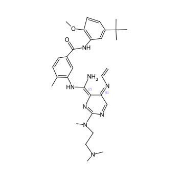 C=C/N=C1/C=NC(N(C)CCN(C)C)=N/C1=C(/N)Nc1cc(C(=O)Nc2cc(C(C)(C)C)ccc2OC)ccc1C